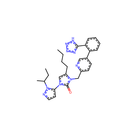 CCCCc1cn(-c2ccnn2C(C)CC)c(=O)n1Cc1ccc(-c2ccccc2-c2nnn[nH]2)cn1